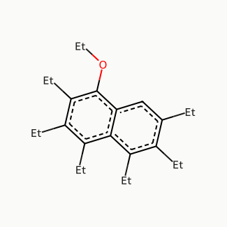 [CH2]COc1c(CC)c(CC)c(CC)c2c(CC)c(CC)c(CC)cc12